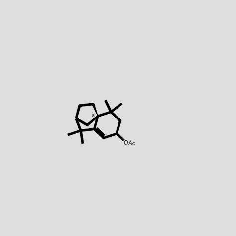 CC(=O)OC1C=C2C(C)(C)C3CC[C@@]2(C3)C(C)(C)C1